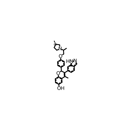 CC1=C(c2ccc3cn[nH]c3c2)C(c2ccc(OCC(C)N3CC[C@@H](C)C3)cc2)Oc2ccc(O)cc21